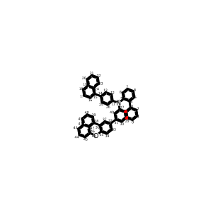 c1ccc(-c2ccccc2N(c2ccc(-c3cccc4ccccc34)cc2)c2cccc(-c3ccc4c(c3)-c3cccc5cccc(c35)O4)c2)cc1